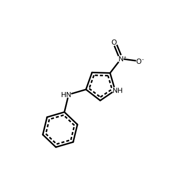 O=[N+]([O-])c1cc(Nc2ccccc2)c[nH]1